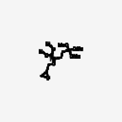 CCO[SiH](OCC)C(CC[Si](OC)(OC)OC)OCC1CO1